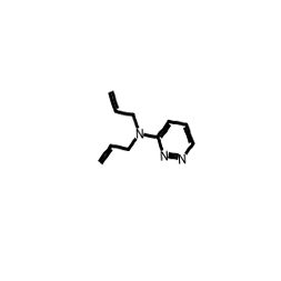 C=CCN(CC=C)c1cccnn1